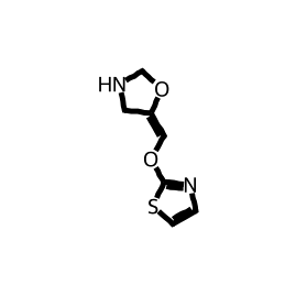 C(Oc1nccs1)=C1CNCO1